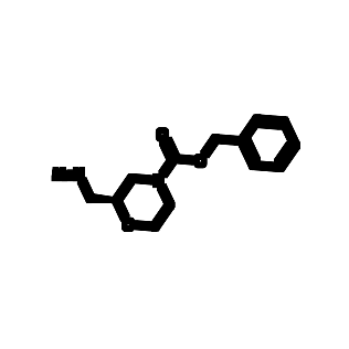 CNC[C@H]1CN(C(=O)OCc2ccccc2)CCO1